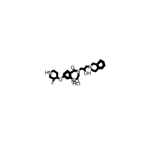 Cl.Cl.O=C1c2ccc(OC3CCNCC3F)cc2OCCN1CC(O)CN1CCc2ccccc2C1